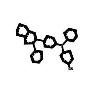 N#Cc1ccc(N(c2ccccc2)c2ccc(-c3cc4ccccc4cc3-c3ccccc3)cc2)cc1